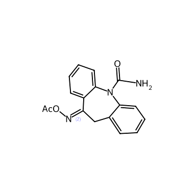 CC(=O)O/N=C1/Cc2ccccc2N(C(N)=O)c2ccccc21